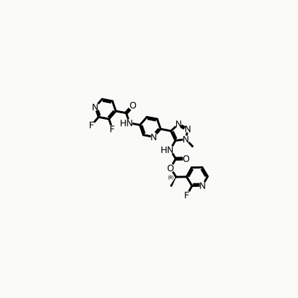 C[C@@H](OC(=O)Nc1c(-c2ccc(NC(=O)c3ccnc(F)c3F)cn2)nnn1C)c1cccnc1F